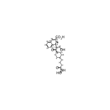 O=C(CCCC1CCN(C(=O)[C@H](CO)c2nc(C(=O)O)cc3ccccc23)CC1)NO